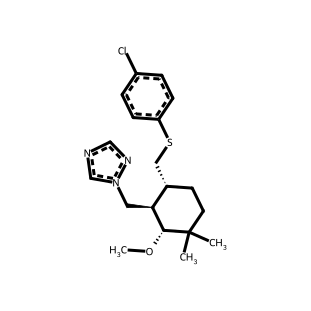 CO[C@@H]1[C@@H](Cn2cncn2)[C@H](CSc2ccc(Cl)cc2)CCC1(C)C